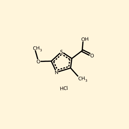 COc1nc(C)c(C(=O)O)s1.Cl